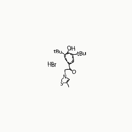 Br.CC1=CN(CC(=O)c2cc(C(C)(C)C)c(O)c(C(C)(C)C)c2)CS1